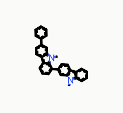 Cn1c2ccccc2c2ccc(-c3cccc4c5ccc(-c6ccccc6)cc5n(C)c34)cc21